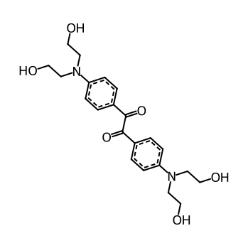 O=C(C(=O)c1ccc(N(CCO)CCO)cc1)c1ccc(N(CCO)CCO)cc1